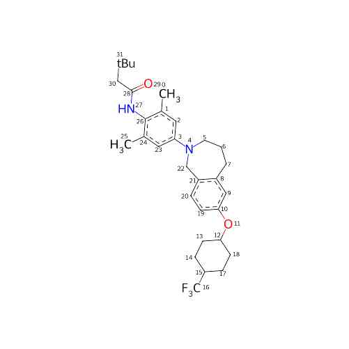 Cc1cc(N2CCCc3cc(OC4CCC(C(F)(F)F)CC4)ccc3C2)cc(C)c1NC(=O)CC(C)(C)C